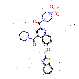 CS(=O)(=O)N1CCN(C(=O)c2cc(C(=O)N3CCCCC3)c3cc(OCc4nc5ccccc5s4)ccc3n2)CC1